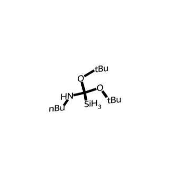 CCCCNC([SiH3])(OC(C)(C)C)OC(C)(C)C